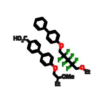 CCOCC(F)(F)C(F)(F)C(F)(F)COc1ccc(-c2ccccc2)cc1.CC[C@@H](COc1ccc(-c2ccc(C(=O)O)cc2)cc1)OC